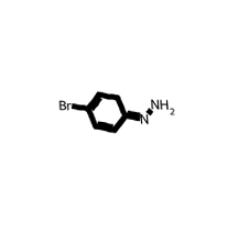 N/N=C1/C=CC(Br)=CC1